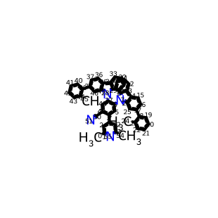 Cc1cc(-c2cc(-n3c4ccccc4c4ccc(-c5ccccc5C)cc43)c(-n3c4ccccc4c4ccc(-c5ccccc5C)cc43)cc2C#N)cc(C)n1